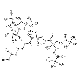 CC(C)(Br)C(=O)OCC(C)(COC(=O)C(C)(C)Br)C(=O)OCC(C)(COC(O)C(C)(COC(=O)C(C)(C)Br)COC(=O)C(C)(C)Br)C(=O)OCCOCC(O)CO